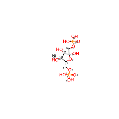 O=P(O)(O)OC[C@H]1O[C@](O)(COP(=O)(O)O)[C@@H](O)[C@@H]1O.[Ni]